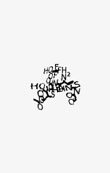 CC(=O)OCC1=C(C(=O)O)N2C(=O)[C@@H](NC(=O)C(N)c3cs/c(=N/C(=O)CCl)[nH]3)[C@H]2SC1.O=C(O)C(F)(F)F